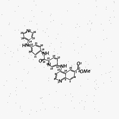 COC(=O)c1ccc2nccc(Nc3ccc(C(=O)Nc4ccc(Nc5ccncc5)cc4)nc3)c2c1